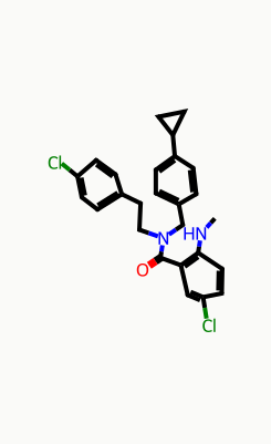 CNc1ccc(Cl)cc1C(=O)N(CCc1ccc(Cl)cc1)Cc1ccc(C2CC2)cc1